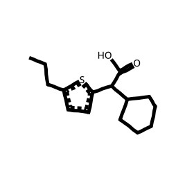 CCCc1ccc(C(C(=O)O)C2CCCCC2)s1